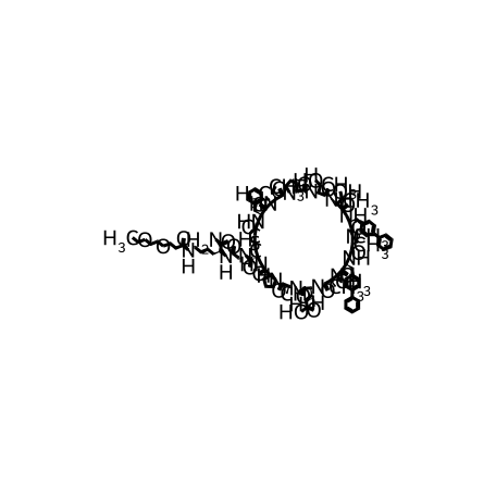 CCOCCOCCC(=O)NCCCC[C@H](NC(=O)CNC(=O)[C@@H]1CSCC(=O)N[C@@H](Cc2ccccc2)C(=O)N[C@@H](C(C)C)C(=O)N2CCC[C@H]2C(=O)N[C@@H]([C@@H](C)O)C(=O)N[C@@H]([C@@H](C)O)C(=O)N[C@@H](Cc2ccc(-c3ccccc3)cc2)C(=O)N(C)[C@@H](C)C(=O)N[C@@H](Cc2ccc(-c3ccccc3)cc2)C(=O)N(C)[C@@H](C)C(=O)N[C@@H](CCC(=O)O)C(=O)N[C@@H](C)C(=O)N2CCC[C@H]2C(=O)N1)C(N)=O